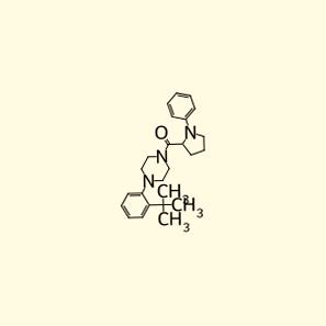 CC(C)(C)c1ccccc1N1CCN(C(=O)C2CCCN2c2ccccc2)CC1